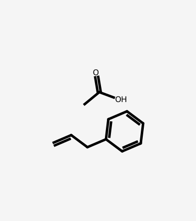 C=CCc1ccccc1.CC(=O)O